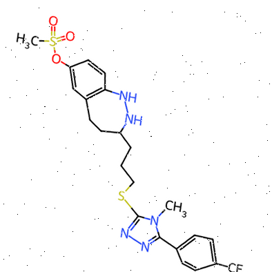 Cn1c(SCCCC2CCc3cc(OS(C)(=O)=O)ccc3NN2)nnc1-c1ccc(C(F)(F)F)cc1